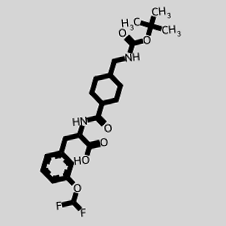 CC(C)(C)OC(=O)NCC1CCC(C(=O)NC(Cc2cccc(OC(F)F)c2)C(=O)O)CC1